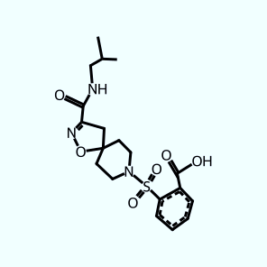 CC(C)CNC(=O)C1=NOC2(CCN(S(=O)(=O)c3ccccc3C(=O)O)CC2)C1